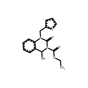 CCOC(=O)N1C(=O)N(Cc2cccs2)c2ccccc2C1O